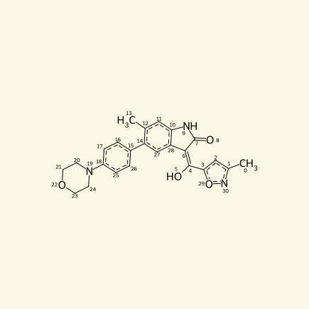 Cc1cc(C(O)=C2C(=O)Nc3cc(C)c(-c4ccc(N5CCOCC5)cc4)cc32)on1